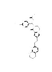 COc1ncc([C@H](CC(=O)O)N2CCn3cc(CCc4ccc5c(n4)NCCC5)cc3C2=O)cn1